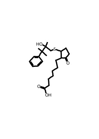 CC(O)(CSC1CCC(=O)C1CCCCCCC(=O)O)C(C)(C)c1ccccc1